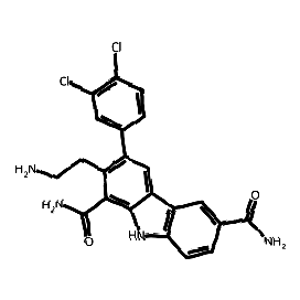 NCCc1c(-c2ccc(Cl)c(Cl)c2)cc2c([nH]c3ccc(C(N)=O)cc32)c1C(N)=O